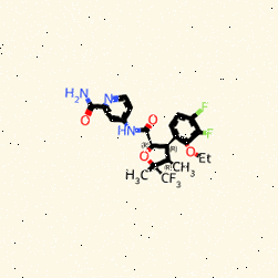 CCOc1c([C@H]2[C@@H](C)[C@@](C)(C(F)(F)F)O[C@H]2C(=O)Nc2ccnc(C(N)=O)c2)ccc(F)c1F